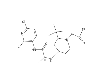 C[C@@H](NC1CCN(OC(=O)O)C(C(C)(C)C)C1)C(=O)Nc1ccc(Cl)nc1Cl